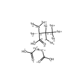 O=C(O)/[13CH]=[13CH]\C(=O)O.[2H]CC([2H])(C([2H])([2H])[2H])[C@@]([2H])(C(=O)O)N([2H])[2H]